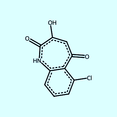 O=c1[nH]c2cccc(Cl)c2c(=O)cc1O